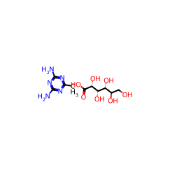 Cc1nc(N)nc(N)n1.O=C(O)[C@H](O)[C@@H](O)[C@H](O)[C@H](O)CO